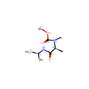 C[C@@H](C(=O)N[C@H](C(=O)O)C(C)(C)C)N(C)C(=O)OC(C)(C)C